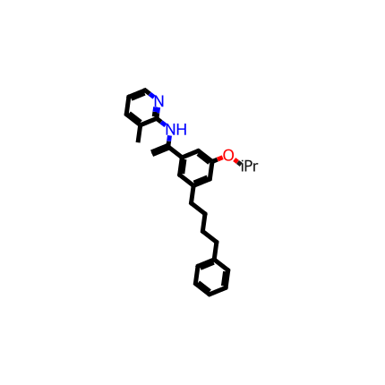 C=C(Nc1ncccc1C)c1cc(CCCCc2ccccc2)cc(OC(C)C)c1